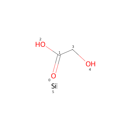 O=C(O)CO.[Si]